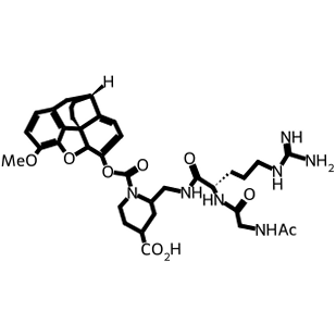 COc1ccc2c3c1OC1C(OC(=O)N4CCC(C(=O)O)CC4CNC(=O)[C@H](CCCNC(=N)N)NC(=O)CNC(C)=O)=CC=C4[C@H](CCC[C@]431)C2